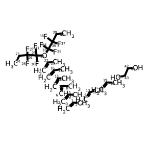 C=CC.C=CC.C=CC.C=CC.C=CC.C=CC.C=CC.C=CC.CCC(F)(F)C(F)(F)OC(F)(F)C(F)(F)CC.OCCO